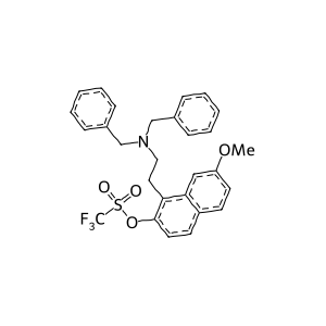 COc1ccc2ccc(OS(=O)(=O)C(F)(F)F)c(CCN(Cc3ccccc3)Cc3ccccc3)c2c1